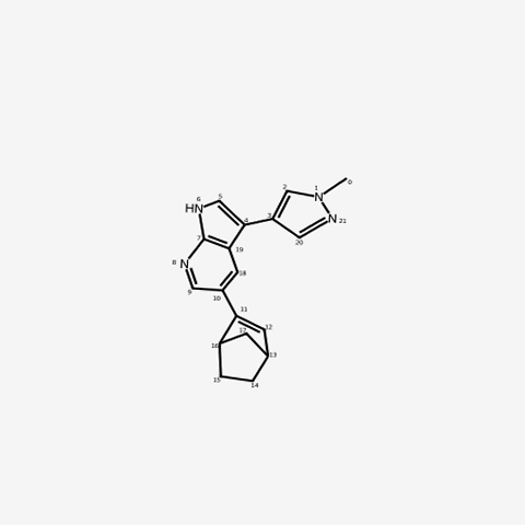 Cn1cc(-c2c[nH]c3ncc(C4=CC5CCC4C5)cc23)cn1